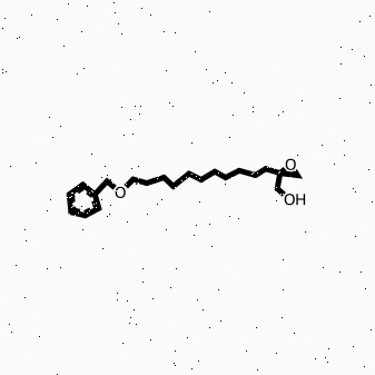 OCC1(CCCCCCCCCCCOCc2ccccc2)CO1